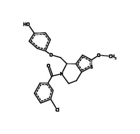 COc1cc2c(s1)CCN(C(=O)c1cccc(Cl)c1)C2COc1ccc(O)cc1